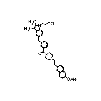 COc1ccc2cc(CCN3CCN(C(=O)c4cccc(Cc5ccc6c(c5)c(C)c(C)n6CCCCl)c4)CC3)ccc2c1